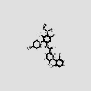 C=NN(c1c(F)cc(NC(=O)C2=NN(c3c(F)cccc3F)C(O)C=C2)c(N2CCC(N)CC2)c1C)C(C)C